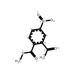 COC(=O)c1ccc([N+](=O)[O-])cc1C(C)=O